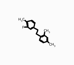 Cc1ccc(CCc2ccc(C)c(F)c2)c(C)c1